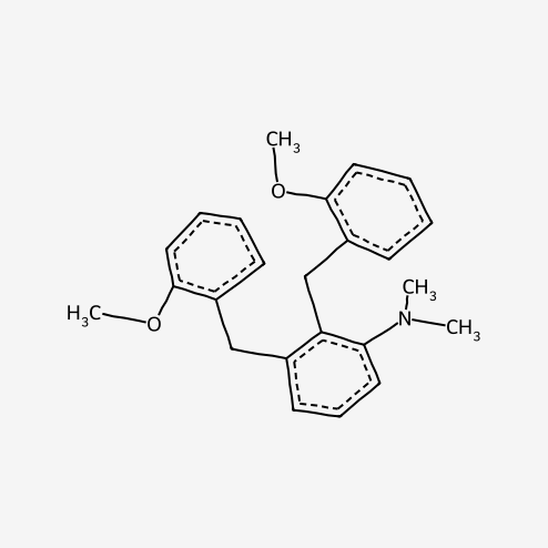 COc1ccccc1Cc1cccc(N(C)C)c1Cc1ccccc1OC